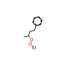 CCOOC(C)CCc1ccccc1